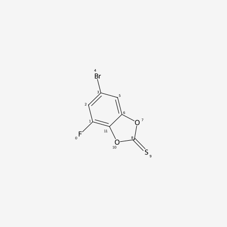 Fc1cc(Br)cc2oc(=S)oc12